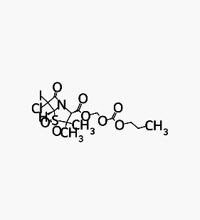 CCCOC(=O)OCOC(=O)[C@@H]1N2C(=O)C(Cl)(I)[C@H]2S(=O)(=O)C1(C)C